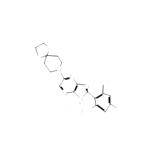 Cc1cc(C(F)(F)F)cc(O)c1-c1nc2nc(N3CCC4(CC3)OCCO4)cnc2n1C